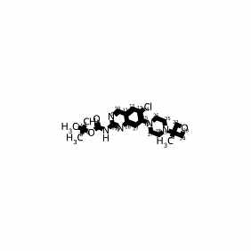 CC(C)(C)OC(=O)Nc1ncc2cc(Cl)c(N3CCN(C4(C)COC4)CC3)cc2n1